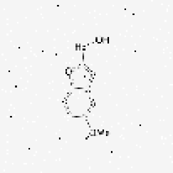 COc1ccc2oc(BO)cc2c1